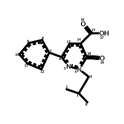 CC(C)Cn1nc(-c2ccccc2)cc(C(=O)O)c1=O